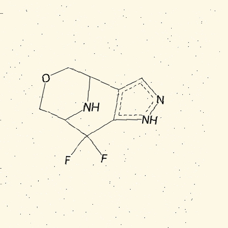 FC1(F)c2[nH]ncc2C2COCC1N2